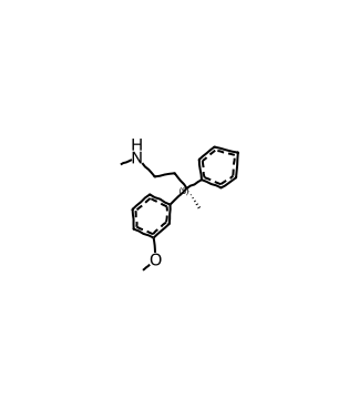 CNCC[C@@](C)(c1ccccc1)c1cccc(OC)c1